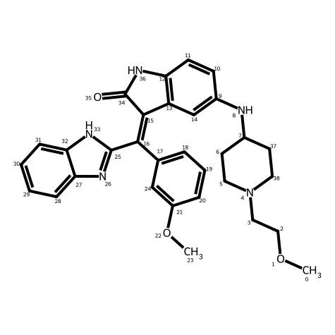 COCCN1CCC(Nc2ccc3c(c2)C(=C(c2cccc(OC)c2)c2nc4ccccc4[nH]2)C(=O)N3)CC1